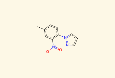 Cc1ccc(-n2cccn2)c([N+](=O)[O-])c1